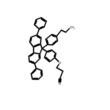 CCCc1ccc(C2(c3ccc(OCCC#N)cc3)c3cc(-c4ccccc4)ccc3-c3ccc(-c4ccccc4)cc32)cc1